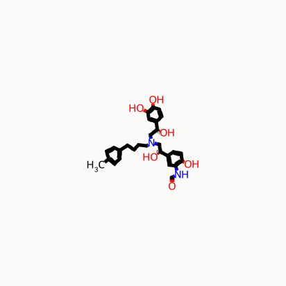 Cc1ccc(CCCCN(C[C@H](O)c2ccc(O)c(O)c2)C[C@H](O)c2ccc(O)c(NC=O)c2)cc1